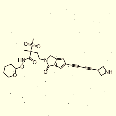 C[C@@](CCN1Cc2cc(C#CC#CC3CNC3)cn2C1=O)(C(=O)NOC1CCCCO1)S(C)(=O)=O